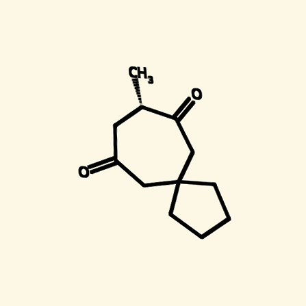 C[C@H]1CC(=O)CC2(CCCC2)CC1=O